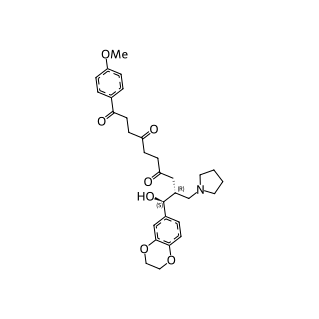 COc1ccc(C(=O)CCC(=O)CCC(=O)C[C@H](CN2CCCC2)[C@H](O)c2ccc3c(c2)OCCO3)cc1